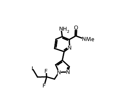 CNC(=O)c1nc(-c2cnn(CC(F)(F)CI)c2)ccc1N